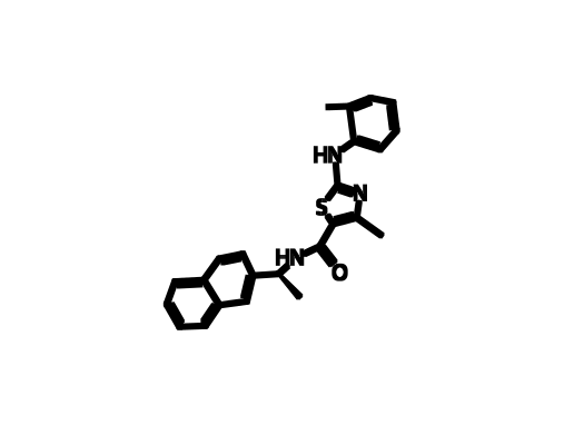 Cc1ccccc1Nc1nc(C)c(C(=O)N[C@@H](C)c2ccc3ccccc3c2)s1